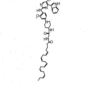 CC/C=C\C/C=C\C/C=C\C/C=C\C/C=C\CCCC(=O)NCC(=O)NC1CCN(c2ccc(Nc3ncc(Cl)c(-c4c[nH]c5ccccc45)n3)c(OC)c2)CC1